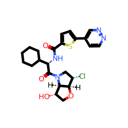 O=C(N[C@H](C(=O)N1C[C@H](Cl)[C@H]2OC[C@H](O)[C@H]21)C1CCCCC1)c1ccc(-c2ccnnc2)s1